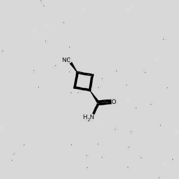 N#C[C@H]1C[C@@H](C(N)=O)C1